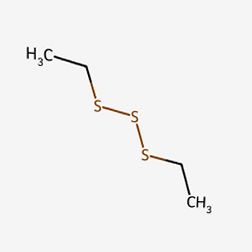 CCSSSCC